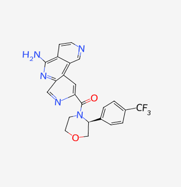 Nc1nc2cnc(C(=O)N3CCOC[C@@H]3c3ccc(C(F)(F)F)cc3)cc2c2cnccc12